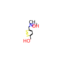 C[N+](O)=CC1=CC=C(CO)SS1